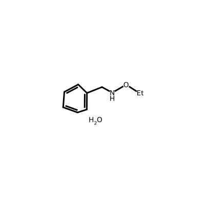 CCONCc1ccccc1.O